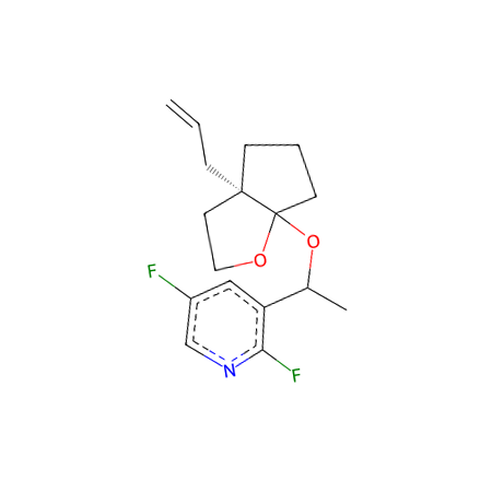 C=CC[C@]12CCCC1(OC(C)c1cc(F)cnc1F)OCC2